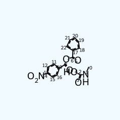 CNC(=O)O.O=C(OC(=O)c1ccc([N+](=O)[O-])cc1)c1ccccc1